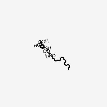 CC/C=C\C/C=C\C/C=C\C/C=C\C/C=C\C/C=C\CCC(=O)NCCOC(=O)Nc1ccc(O)c(C(=O)O)c1